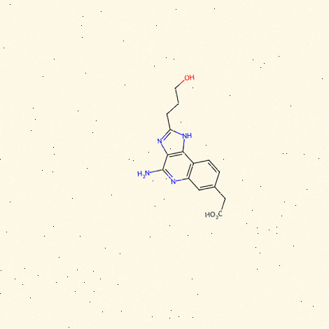 Nc1nc2cc(CC(=O)O)ccc2c2[nH]c(CCCO)nc12